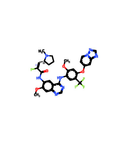 COc1cc2ncnc(Nc3cc(C(F)(F)F)c(Oc4ccn5ncnc5c4)cc3OC)c2cc1NC(=O)/C(F)=C\[C@H]1CCCN1C